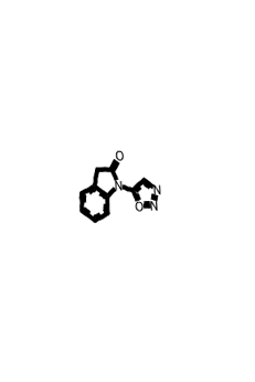 O=C1Cc2ccccc2N1c1cnno1